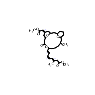 COC(=O)/C=C1\CC2CC(=O)OC(/C=C/C=C\C=C(/C)CC(=O)OC)CCCC(C)CC3CCCC(CC(C1)O2)O3